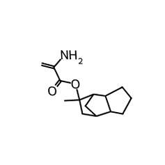 C=C(N)C(=O)OC1(C)CC2CC1C1CCCC21